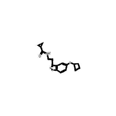 O=C(NCCc1noc2ccc(SC3CCC3)cc12)C1CC1